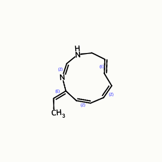 C/C=C1\C=C/C=C\C=C\CN/C=N\1